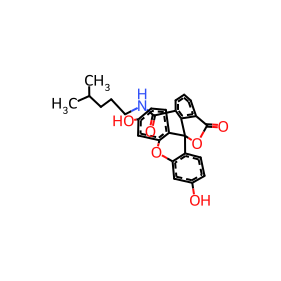 CC(C)CCCNC(=O)c1cccc2c1C1(OC2=O)c2ccc(O)cc2Oc2cc(O)ccc21